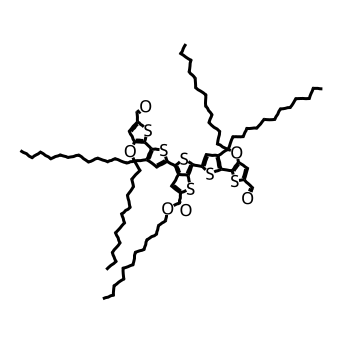 CCCCCCCCCCCCOC(=O)c1cc2c(-c3cc4c(s3)-c3sc(C=O)cc3OC4(CCCCCCCCCCCC)CCCCCCCCCCCC)sc(-c3cc4c(s3)-c3sc(C=O)cc3OC4(CCCCCCCCCCCC)CCCCCCCCCCCC)c2s1